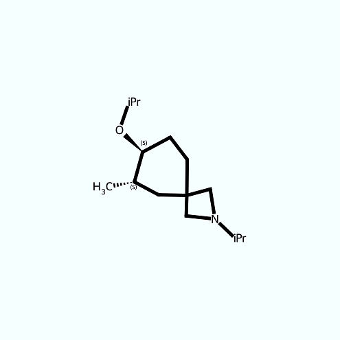 CC(C)O[C@H]1CCC2(C[C@@H]1C)CN(C(C)C)C2